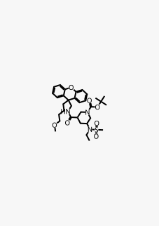 CCN(C1CC(C(=O)NCC2(CCCCOC)c3ccccc3Oc3ccccc32)CN(C(=O)OC(C)(C)C)C1)S(C)(=O)=O